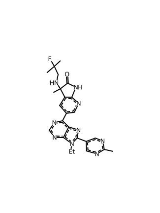 CCn1c(-c2cnc(C)nc2)nc2c(-c3cnc4c(c3)C(C)(NCC(C)(C)F)C(=O)N4)ncnc21